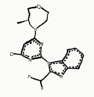 C[C@H]1COCCN1c1cc(Cl)nc(-n2c(C(F)F)nc3ccccc32)n1